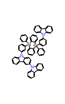 c1ccc([Si]2(c3cccc(-n4c5ccccc5c5ccccc54)c3)c3ccccc3[Si](c3ccccc3)(c3cccc(-n4c5ccccc5c5cc(-n6c7ccccc7c7ccccc76)ccc54)c3)c3ccccc32)cc1